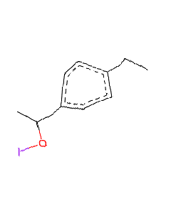 CCc1ccc(C(C)OI)cc1